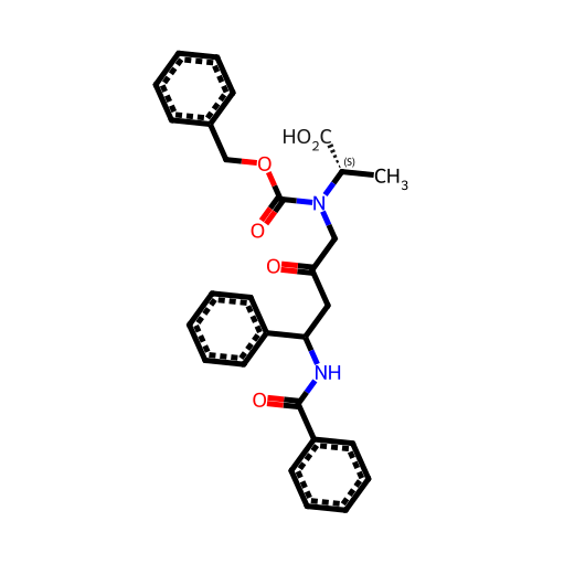 C[C@@H](C(=O)O)N(CC(=O)CC(NC(=O)c1ccccc1)c1ccccc1)C(=O)OCc1ccccc1